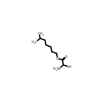 CC(C)CCCCCOC(=O)[CH](S)[SbH2]